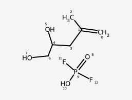 C=C(C)CC(O)CO.O=P(O)(F)F